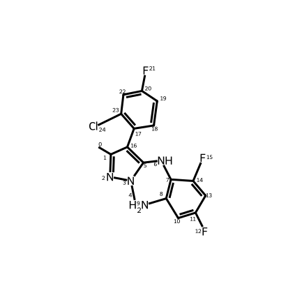 Cc1nn(C)c(Nc2c(N)cc(F)cc2F)c1-c1ccc(F)cc1Cl